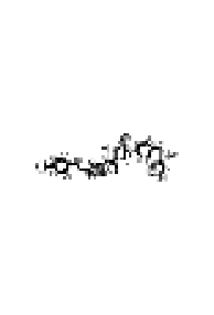 CN(Cc1ccc(N2CC(C(=O)Nc3nnc(CCc4ccc(Cl)cc4)s3)CC2=O)cc1)C1CCOC1